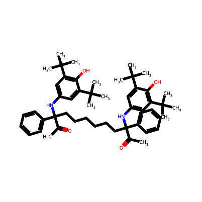 CC(=O)C(CCCCCCC(Nc1cc(C(C)(C)C)c(O)c(C(C)(C)C)c1)(C(C)=O)c1ccccc1)(Nc1cc(C(C)(C)C)c(O)c(C(C)(C)C)c1)c1ccccc1